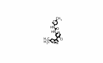 CC1CCC(NC(=O)Nc2cc(-c3cnn4c3CC(C)(C)C4)c(Cl)cn2)CC1